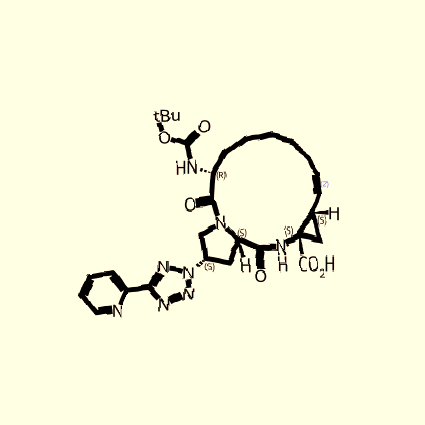 CC(C)(C)OC(=O)N[C@@H]1CCCCC/C=C\[C@@H]2C[C@]2(C(=O)O)NC(=O)[C@@H]2C[C@H](n3nnc(-c4ccccn4)n3)CN2C1=O